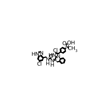 CN(C(=O)O)c1ccc(-c2nc([C@H](Cc3ccccc3)NC(=O)NCc3cc(Cl)cc4[nH]cnc34)[nH]c2Cl)cc1